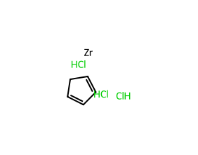 C1=CCC=C1.Cl.Cl.Cl.[Zr]